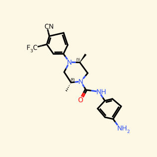 C[C@@H]1CN(c2ccc(C#N)c(C(F)(F)F)c2)[C@@H](C)CN1C(=O)Nc1ccc(N)cc1